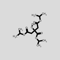 CC(C)OC(=O)CC(CC(=O)OC(C)C)(OO)C(=O)OC(C)C